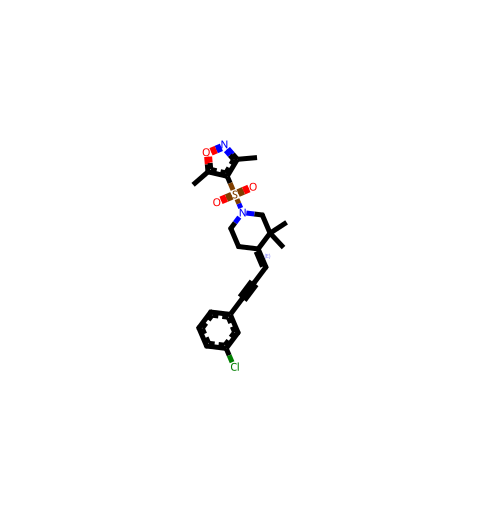 Cc1noc(C)c1S(=O)(=O)N1CC/C(=C\C#Cc2cccc(Cl)c2)C(C)(C)C1